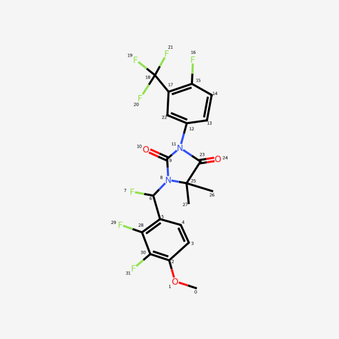 COc1ccc(C(F)N2C(=O)N(c3ccc(F)c(C(F)(F)F)c3)C(=O)C2(C)C)c(F)c1F